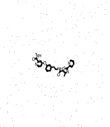 CNC(=O)c1cc(Oc2cccc(CCNC(=O)c3sc(-c4ccccn4)nc3C)c2)ccn1